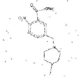 COC(=O)c1cc(CN2CCC(C)CC2)ccc1[N+](=O)[O-]